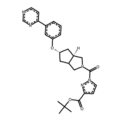 CC(C)(C)OC(=O)c1ccn(C(=O)N2CC3C[C@H](Oc4cccc(-c5ccncn5)c4)C[C@H]3C2)n1